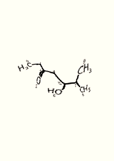 CCC(=O)CC(O)C(C)C